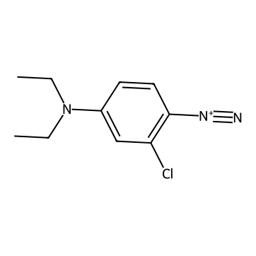 CCN(CC)c1ccc([N+]#N)c(Cl)c1